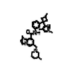 Cc1cn(C)nc1C1(c2cccc(NC(=O)c3cc(CN4CCC[C@H](C)C4)cn4ccnc34)c2)CC(C)C1